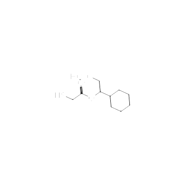 O=C(O)CC(OC(=O)CS)C1CCCCC1